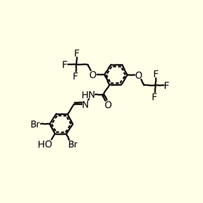 O=C(NN=Cc1cc(Br)c(O)c(Br)c1)c1cc(OCC(F)(F)F)ccc1OCC(F)(F)F